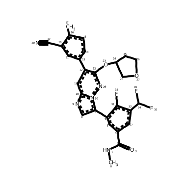 CNC(=O)c1cc(-c2cnc3cc(-c4ccc(C)c(C#N)c4)c(OC4CCOC4)nn23)c(F)c(C(F)F)c1